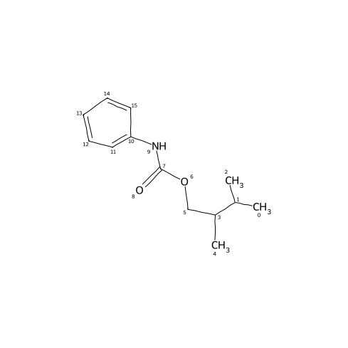 CC(C)C(C)COC(=O)Nc1ccccc1